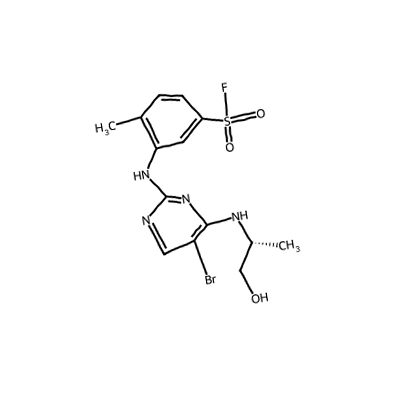 Cc1ccc(S(=O)(=O)F)cc1Nc1ncc(Br)c(N[C@H](C)CO)n1